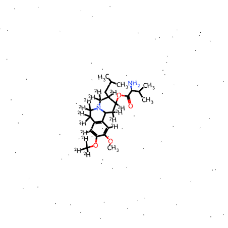 [2H]c1c(OC)c(OC([2H])([2H])[2H])c([2H])c2c1C1N(C([2H])([2H])C2([2H])[2H])C([2H])([2H])C([2H])(CC(C)C)C([2H])(OC(=O)[C@@H](N)C(C)C)C1([2H])[2H]